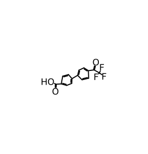 O=C(O)c1ccc(-c2ccc(C(=O)C(F)(F)F)cc2)cc1